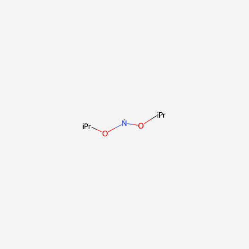 CC(C)O[N]OC(C)C